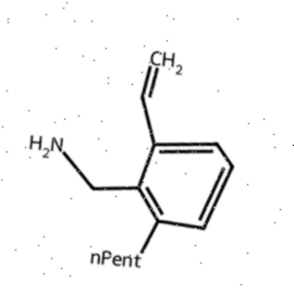 C=Cc1cccc(CCCCC)c1CN